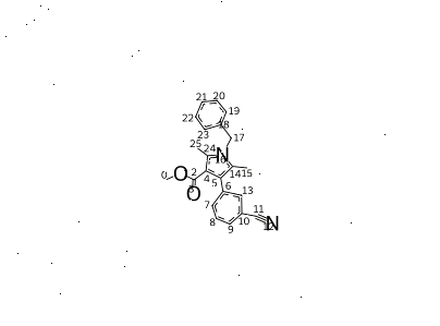 COC(=O)c1c(-c2cccc(C#N)c2)c(C)n(Cc2ccccc2)c1C